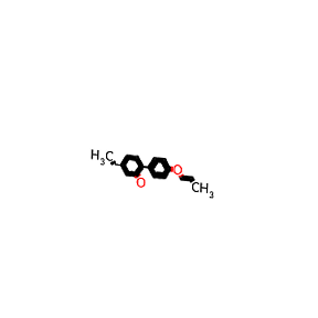 CCCOc1ccc([C@@H]2CC[C@@H](CC)CC2=O)cc1